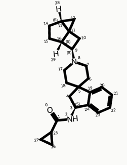 O=C(N[C@H]1CC2(CCN([C@@H]3CC45C[C@H]4CC[C@@H]35)CC2)c2ccccc21)C1CC1